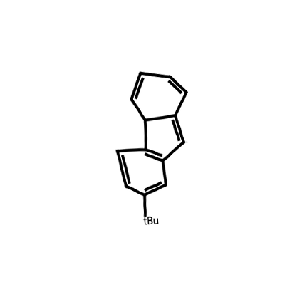 CC(C)(C)c1ccc2c(c1)[C]=C1C=CC=CC12